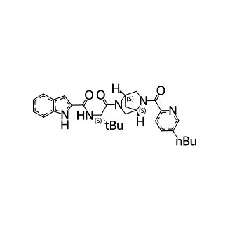 CCCCc1ccc(C(=O)N2C[C@@H]3C[C@H]2CN3C(=O)[C@@H](NC(=O)c2cc3ccccc3[nH]2)C(C)(C)C)nc1